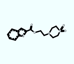 O=C(OCCN1CCS(=O)(=O)CC1)c1cc2ccccc2s1